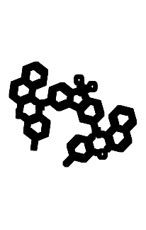 Cc1ccc2c(c1)Oc1ccc3ccccc3c1N2c1ccc2c(c1)-c1cc(N3c4ccc(C)cc4Sc4ccc5ccccc5c43)ccc1S2(=O)=O